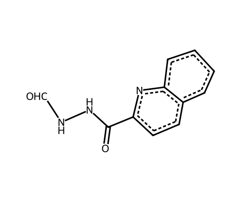 O=CNNC(=O)c1ccc2ccccc2n1